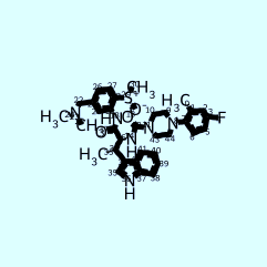 Cc1cc(F)ccc1N1CCN(C(=O)N[C@@H](C(=O)Nc2cc(CN(C)C)ccc2[S+](C)[O-])[C@@H](C)c2c[nH]c3ccccc23)CC1